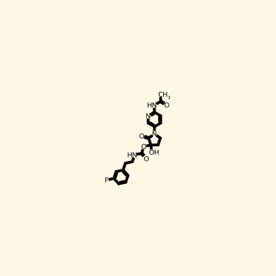 CC(=O)Nc1ccc(N2CCC(O)(OC(=O)NCCc3cccc(F)c3)C2=O)cn1